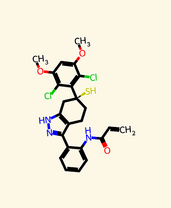 C=CC(=O)Nc1ccccc1-c1n[nH]c2c1CC[C@@](S)(c1c(Cl)c(OC)cc(OC)c1Cl)C2